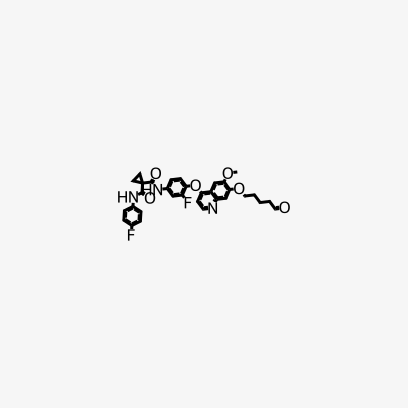 COc1cc2c(Oc3ccc(NC(=O)C4(C(=O)Nc5ccc(F)cc5)CC4)cc3F)ccnc2cc1OCCCCC=O